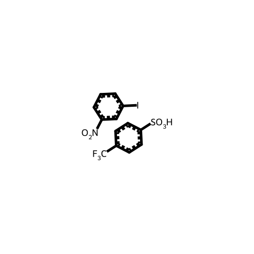 O=S(=O)(O)c1ccc(C(F)(F)F)cc1.O=[N+]([O-])c1cccc(I)c1